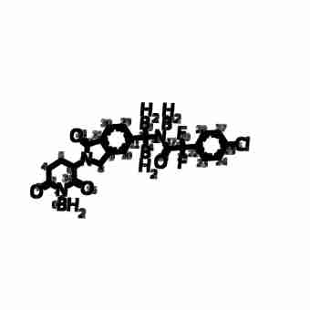 BN1C(=O)CCC(N2Cc3cc(C(B)(B)N(B)C(=O)C(F)(F)c4ccc(Cl)cc4)ccc3C2=O)C1=O